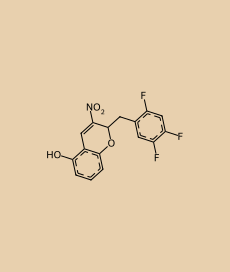 O=[N+]([O-])C1=Cc2c(O)cccc2OC1Cc1cc(F)c(F)cc1F